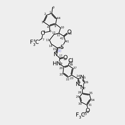 Cc1ccc(COCC(F)(F)F)c(CC2CCC/C(=N/C(=O)Nc3ccc(-c4ncn(-c5ccc(OC(F)(F)F)cc5)n4)cc3Cl)SCC2=O)c1